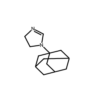 C1=NCCN1C12CC3CC(CC(C3)C1)C2